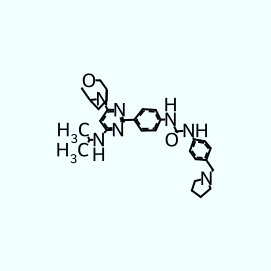 CC(C)Nc1cc(N2C3CCC2COC3)nc(-c2ccc(NC(=O)Nc3ccc(CN4CCCC4)cc3)cc2)n1